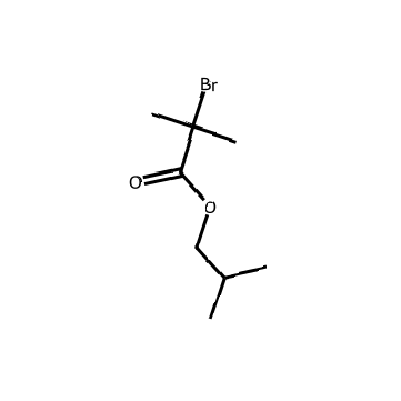 CC(C)COC(=O)C(C)(C)Br